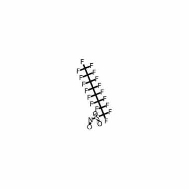 O=NS(=O)(=O)C(F)(F)C(F)(F)C(F)(F)C(F)(F)C(F)(F)C(F)(F)C(F)(F)C(F)(F)F